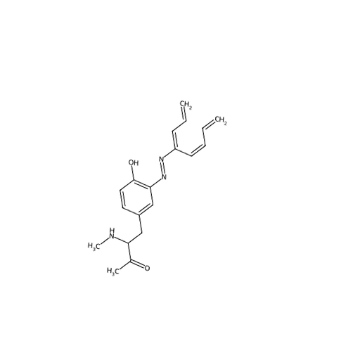 C=C\C=C/C(=C\C=C)/N=N/c1cc(CC(NC)C(C)=O)ccc1O